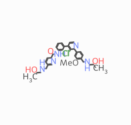 COc1cc(-c2nccc(-c3cccc(NC(=O)c4ccc(CNC[C@H](C)O)cn4)c3Cl)c2Cl)ccc1CNC[C@H](C)O